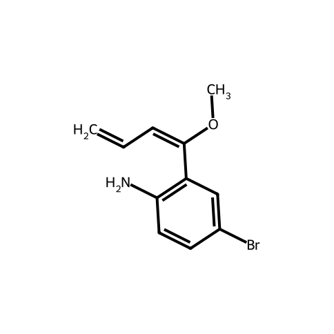 C=C/C=C(/OC)c1cc(Br)ccc1N